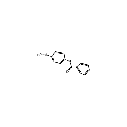 CCCCCc1ccc(NC(=O)c2ccccc2)cc1